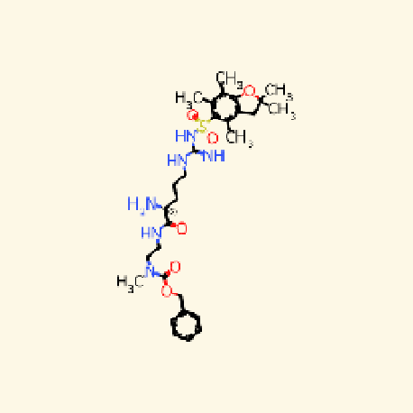 Cc1c(C)c(S(=O)(=O)NC(=N)NCCC[C@H](N)C(=O)NCCN(C)C(=O)OCc2ccccc2)c(C)c2c1OC(C)(C)C2